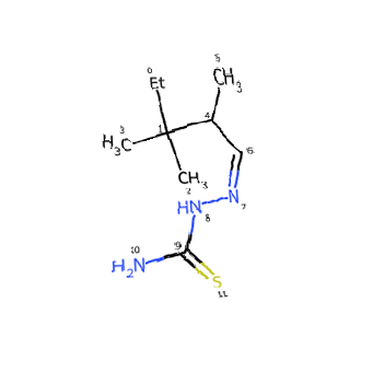 CCC(C)(C)C(C)/C=N\NC(N)=S